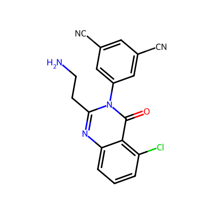 N#Cc1cc(C#N)cc(-n2c(CCN)nc3cccc(Cl)c3c2=O)c1